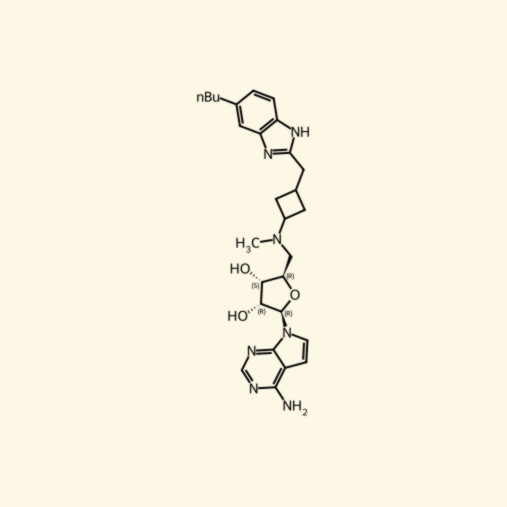 CCCCc1ccc2[nH]c(CC3CC(N(C)C[C@H]4O[C@@H](n5ccc6c(N)ncnc65)[C@H](O)[C@@H]4O)C3)nc2c1